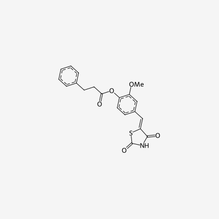 COc1cc(/C=C2\SC(=O)NC2=O)ccc1OC(=O)CCc1ccccc1